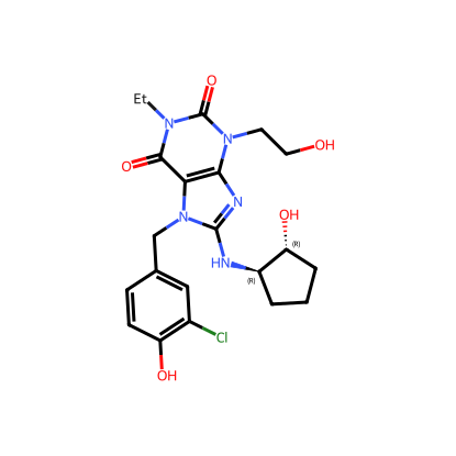 CCn1c(=O)c2c(nc(N[C@@H]3CCC[C@H]3O)n2Cc2ccc(O)c(Cl)c2)n(CCO)c1=O